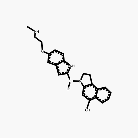 CNCCOc1ccc2[nH]c([S+]([O-])N3CCc4c3cc(O)c3ccccc43)cc2c1